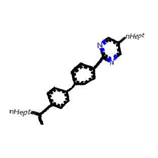 CCCCCCCc1cnc(-c2ccc(-c3ccc(C(C)CCCCCCC)cc3)cc2)nc1